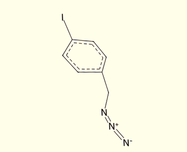 [N-]=[N+]=NCc1ccc(I)cc1